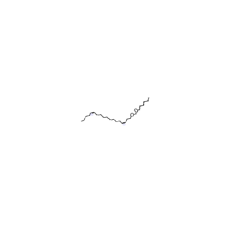 CCCC/C=C\CCCCCCCC/C=C\CCOCOCCCCCC